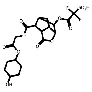 O=C(COC(=O)C1C2CC3C(OC(=O)C31)C2OC(=O)C(F)(F)S(=O)(=O)O)OC1CCC(O)CC1